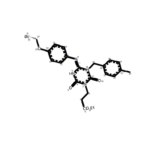 CCOC(=O)CCn1c(=O)[nH]/c(=N\c2ccc(OC[C@@H](C)CC)cc2)n(Cc2ccc(C)cc2)c1=O